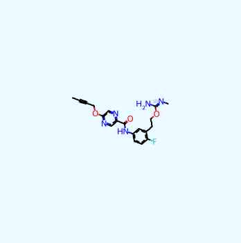 CC#CCOc1cnc(C(=O)Nc2ccc(F)c(CCO/C(N)=N\C)c2)cn1